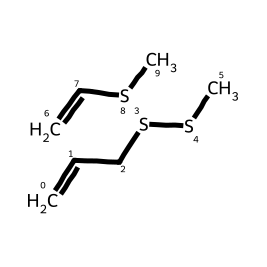 C=CCSSC.C=CSC